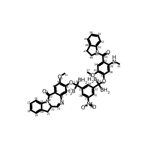 BC(B)(Oc1cc2c(cc1OC)C(=O)N1c3ccccc3CC1C=N2)c1cc([N+](=O)[O-])cc(C(B)(B)Oc2cc(NC)c(C(=O)N3CCc4ccccc43)cc2OC)c1